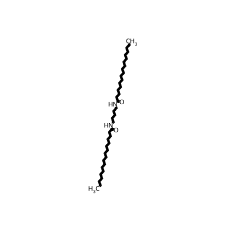 CCCCCCCCCCCCCCCCCC(=O)NCCCCCNC(=O)CCCCCCCCCCCCCCCCC